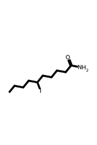 CCCCC(I)CCCCC(N)=O